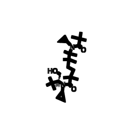 CC(C)(C)C(=O)N(C1CC1)C(C)(C)C(C)(C)CCC(C)(C)C(=O)N(C1CC1)[C@@H](CO)C(C)(C)C